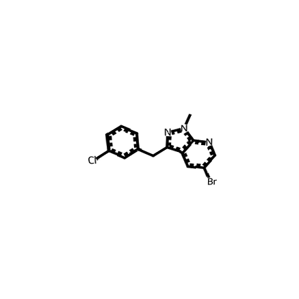 Cn1nc(Cc2cccc(Cl)c2)c2cc(Br)cnc21